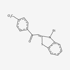 CCN1/C(=C/C(=O)c2ccc(C(Cl)(Cl)Cl)cc2)Sc2ccccc21